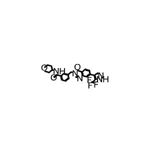 O=C(NC1CCOCC1)c1cccc(Cn2cnc3cc(-c4cn[nH]c4C(F)(F)F)ccc3c2=O)c1